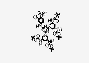 CC(C)(C)OC(=O)N[C@@H]1C[C@H](NC(=O)OC(C)(C)C)CN(c2nc(Nc3ccc([N+](=O)[O-])c(Cl)c3)nc(N3C[C@H](NC(=O)OC(C)(C)C)C[C@H](NC(=O)OC(C)(C)C)C3)n2)C1